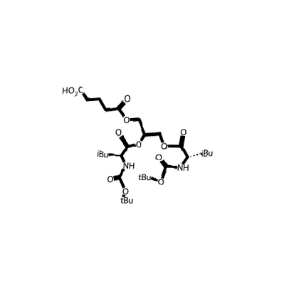 CCC(C)[C@H](NC(=O)OC(C)(C)C)C(=O)OCC(COC(=O)CCCC(=O)O)OC(=O)[C@@H](NC(=O)OC(C)(C)C)C(C)CC